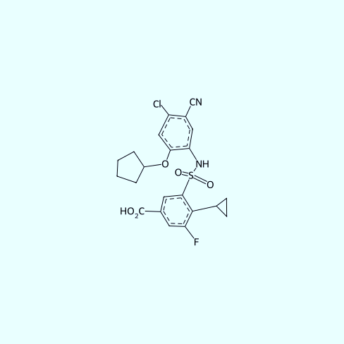 N#Cc1cc(NS(=O)(=O)c2cc(C(=O)O)cc(F)c2C2CC2)c(OC2CCCC2)cc1Cl